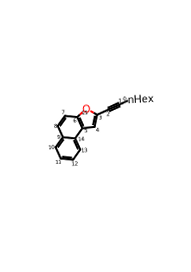 CCCCCCC#Cc1cc2c(ccc3ccccc32)o1